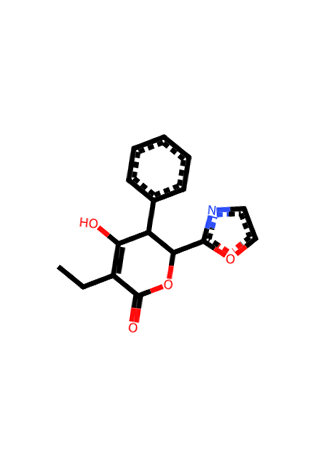 CCC1=C(O)C(c2ccccc2)C(c2ncco2)OC1=O